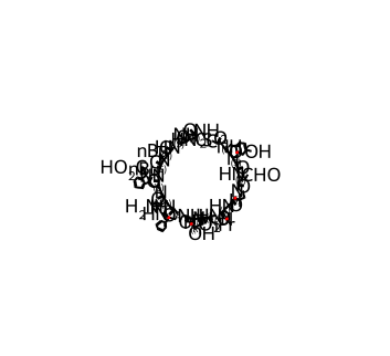 CCCC[C@H]1C(=O)N(C)[C@@H](CCCC)C(=O)N[C@@H](CN)C(=O)N[C@H](C(N)=O)CSCC(=O)N[C@@H](Cc2ccc(O)cc2)C(=O)N(C)[C@@H](C)C(=O)N[C@@H](CC=O)C(=O)N2CCC[C@H]2C(=O)N[C@@H](CN)C(=O)N[C@@H](CC(C)C)C(=O)N2C[C@H](O)C[C@H]2C(=O)N[C@@H](Cc2c[nH]c3ccccc23)C(=O)N[C@@H](CCN)C(=O)N[C@@H](Cc2cn(CC(=O)O)c3ccccc23)C(=O)N1C